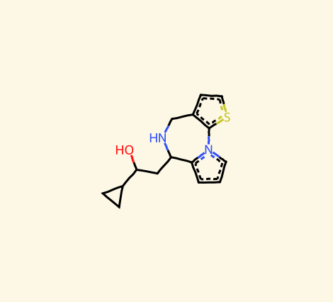 OC(CC1NCc2ccsc2-n2cccc21)C1CC1